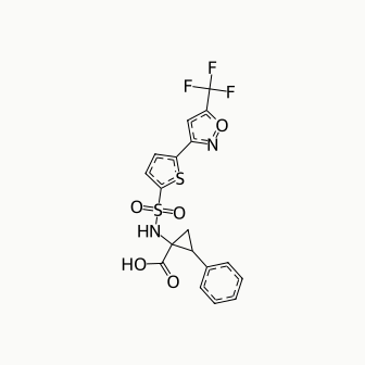 O=C(O)C1(NS(=O)(=O)c2ccc(-c3cc(C(F)(F)F)on3)s2)CC1c1ccccc1